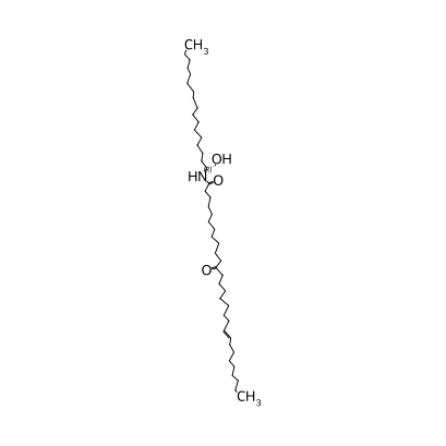 CCCCCCCCC=CCCCCCCCC(=O)CCCCCCCCCCC(=O)N[C@@H](CO)CCCCCCCCCCCCCCCC